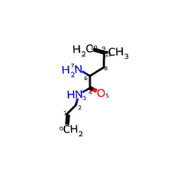 C=CCNC(=O)C(N)CC(=C)C